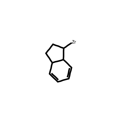 [Zr][CH]1CCC2C=CC=CC12